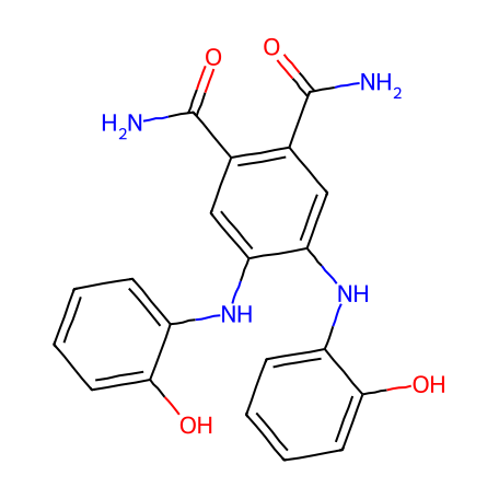 NC(=O)c1cc(Nc2ccccc2O)c(Nc2ccccc2O)cc1C(N)=O